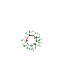 FC1(F)OC(F)(F)C(F)(F)C(F)(F)C(F)(F)C(F)(F)C(F)(F)C1(F)F